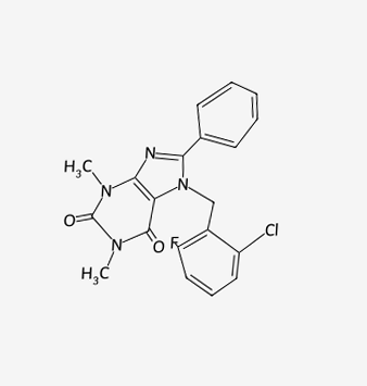 Cn1c(=O)c2c(nc(-c3ccccc3)n2Cc2c(F)cccc2Cl)n(C)c1=O